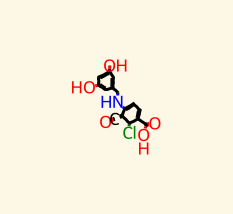 O=C=C1C(NCc2cc(O)cc(O)c2)=CC=C(C(=O)O)C1Cl